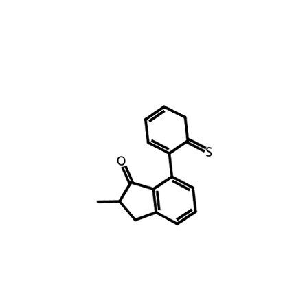 CC1Cc2cccc(C3=CC=CCC3=S)c2C1=O